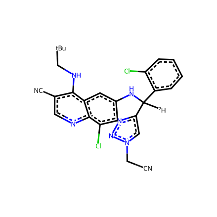 [2H]C(Nc1cc(Cl)c2ncc(C#N)c(NCC(C)(C)C)c2c1)(c1cn(CC#N)nn1)c1ccccc1Cl